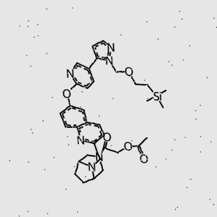 CC(=O)OCC(=O)N1CC2CCC(C1)N2Cc1ccc2cc(Oc3ccc(-c4ccnn4COCC[Si](C)(C)C)cn3)ccc2n1